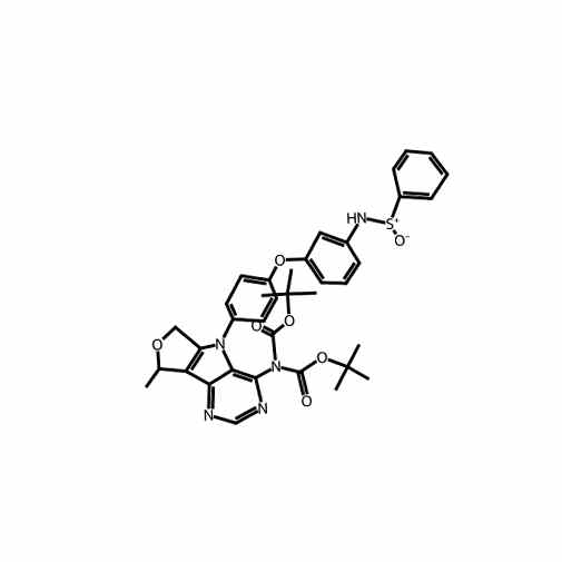 CC1OCc2c1c1ncnc(N(C(=O)OC(C)(C)C)C(=O)OC(C)(C)C)c1n2-c1ccc(Oc2cccc(N[S+]([O-])c3ccccc3)c2)cc1